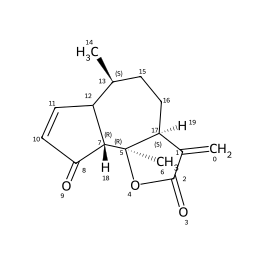 C=C1C(=O)O[C@@]2(C)[C@@H]3C(=O)C=CC3[C@@H](C)CC[C@@H]12